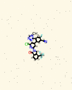 Cn1cnnc1-c1cc(F)c(C#N)cc1-c1cc(Cl)nc(N2Cc3c(cccc3C(F)(F)F)C2=O)c1